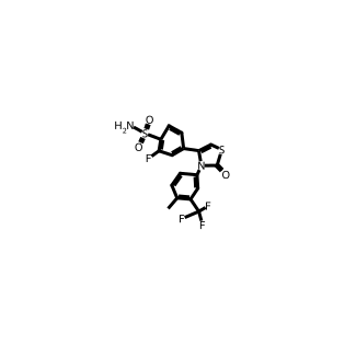 Cc1ccc(-n2c(-c3ccc(S(N)(=O)=O)c(F)c3)csc2=O)cc1C(F)(F)F